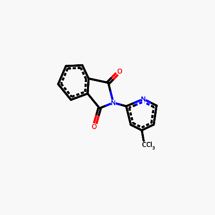 O=C1c2ccccc2C(=O)N1c1cc(C(Cl)(Cl)Cl)ccn1